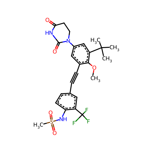 COc1c(C#Cc2ccc(NS(C)(=O)=O)c(C(F)(F)F)c2)cc(N2CCC(=O)NC2=O)cc1C(C)(C)C